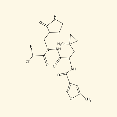 Cc1cc(C(=O)NC(CC2(C)CC2)C(=O)NN(CC2CCNC2=O)C(=O)C(F)Cl)no1